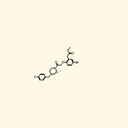 COC(=O)Cc1cc(Br)ccc1OCC(=O)N1CCN(Cc2ccc(F)cc2)C[C@H]1C